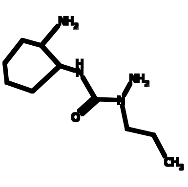 CCCN(N)C(=O)NC1CCCCC1N